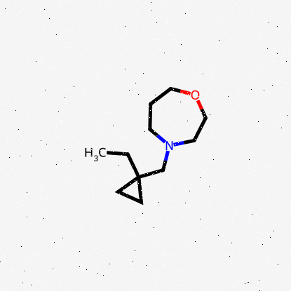 CCC1(CN2CCCOCC2)CC1